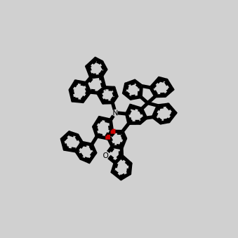 c1ccc2c(c1)-c1ccccc1C21c2ccccc2-c2cc(-c3ccc4oc5ccccc5c4c3)c(N(c3ccc(-c4cccc5ccccc45)cc3)c3ccc4c5ccccc5c5ccccc5c4c3)cc21